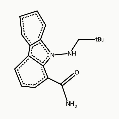 CC(C)(C)CNn1c2ccccc2c2cccc(C(N)=O)c21